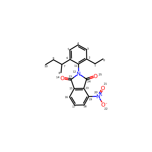 CCc1cccc(C(C)CC)c1N1C(=O)c2cccc([N+](=O)[O-])c2C1=O